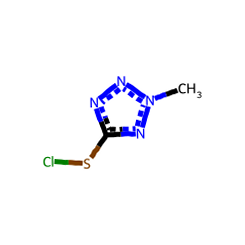 Cn1nnc(SCl)n1